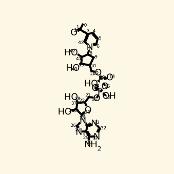 CC(=O)c1ccc[n+](C2CC(COP(=O)(O)OP(=O)(O)OCC3OC(n4cnc5c(N)ncnc54)C(O)C3O)C(O)C2O)c1